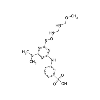 COCNCNOSc1nc(Nc2cccc(S(=O)(=O)O)c2)nc(N(C)C)n1